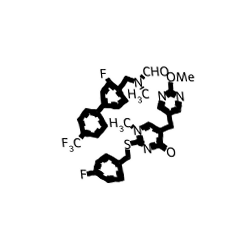 CN(C=O)Cc1ccc(-c2ccc(C(F)(F)F)cc2)cc1F.COc1ncc(Cc2cn(C)c(SCc3ccc(F)cc3)nc2=O)cn1